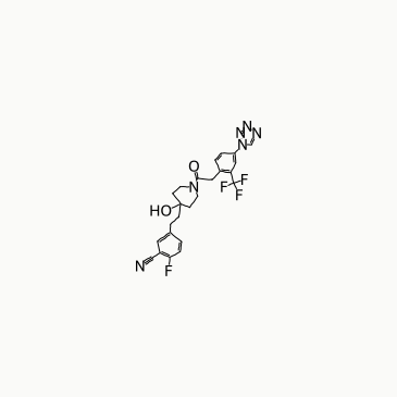 N#Cc1cc(CCC2(O)CCN(C(=O)Cc3ccc(-n4cnnn4)cc3C(F)(F)F)CC2)ccc1F